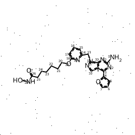 Nc1nc(-c2ccco2)c2cnn(Cc3cccc(OCCCCCCC(=O)NO)n3)c2n1